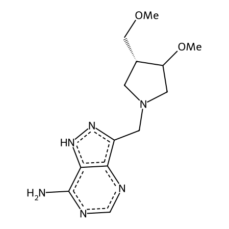 COC[C@H]1CN(Cc2n[nH]c3c(N)ncnc23)CC1OC